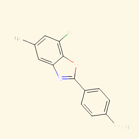 N#Cc1cc(Br)c2oc(-c3ccc(C(=O)O)cc3)nc2c1